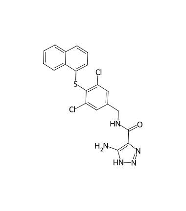 Nc1[nH]nnc1C(=O)NCc1cc(Cl)c(Sc2cccc3ccccc23)c(Cl)c1